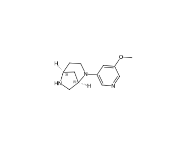 COc1cncc(N2CC[C@H]3C[C@@H]2CN3)c1